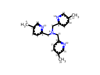 Cc1ccc(CN(Cc2ccc(C)cn2)Cc2ccc(C)cn2)nc1